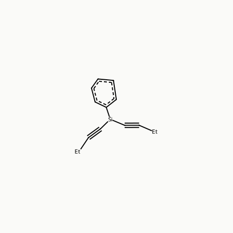 CCC#C[Si](C#CCC)c1ccccc1